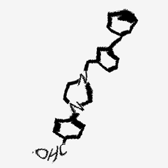 O=[C]c1ccc(N2CCN(Cc3cccc(-c4ccccc4)c3)CC2)cc1